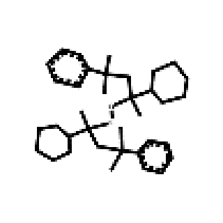 CC(C)(CC(C)(OOC(C)(CC(C)(C)c1ccccc1)C1CCCCC1)C1CCCCC1)c1ccccc1